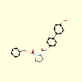 COc1ccc(-c2ccc(NC(=O)[C@@H]3CCCN3C(=O)OCc3ccccc3)cc2)cc1